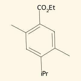 CCOC(=O)c1cc(C)c(C(C)C)cc1C